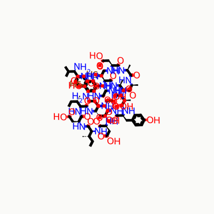 CC[C@H](C)[C@H](NC(=O)[C@H](CC(=O)O)NC(=O)[C@@H](NC(=O)[C@H](CC(=O)O)NC(=O)[C@H](CCCCN)NC(=O)[C@H](Cc1ccc(O)cc1)NC(=O)CNC(=O)[C@H](C)NC(=O)[C@H](CS)NC(=O)[C@H](Cc1ccccc1)NC(=O)[C@H](Cc1ccc(O)cc1)NC(=O)[C@@H](NC(=O)[C@H](C)NC(=O)[C@H](C)NC(=O)[C@H](CC(=O)O)NC(=O)CNC(=O)[C@H](CS)NC(=O)[C@@H](N)C(C)C)[C@@H](C)O)[C@@H](C)CC)C(=O)N[C@@H](CC(=O)O)C(=O)NCC(=O)O